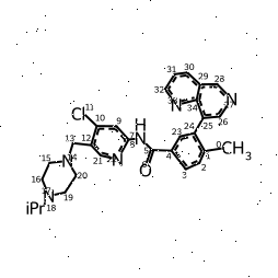 Cc1ccc(C(=O)Nc2cc(Cl)c(CN3CCN(C(C)C)CC3)cn2)cc1-c1cncc2cccnc12